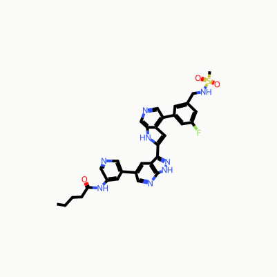 CCCCC(=O)Nc1cncc(-c2cnc3[nH]nc(-c4cc5c(-c6cc(F)cc(CNS(C)(=O)=O)c6)cncc5[nH]4)c3c2)c1